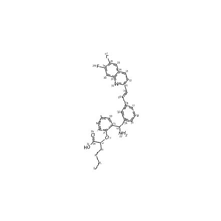 CCCCC(Oc1ccccc1C(N)c1cccc(C=Cc2ccc3cc(F)c(F)cc3n2)c1)C(=O)O